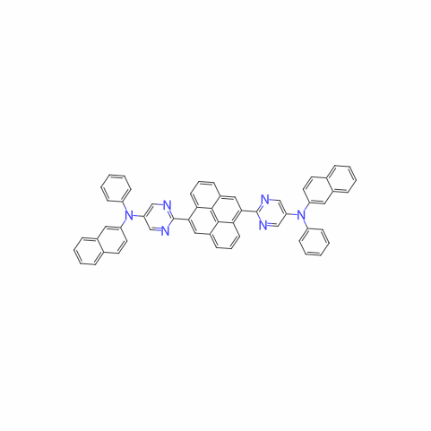 c1ccc(N(c2cnc(-c3cc4cccc5c(-c6ncc(N(c7ccccc7)c7ccc8ccccc8c7)cn6)cc6cccc3c6c45)nc2)c2ccc3ccccc3c2)cc1